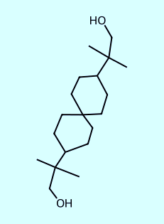 CC(C)(CO)C1CCC2(CC1)CCC(C(C)(C)CO)CC2